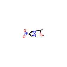 COC(C)Cn1cc([N+](=O)[O-])cn1